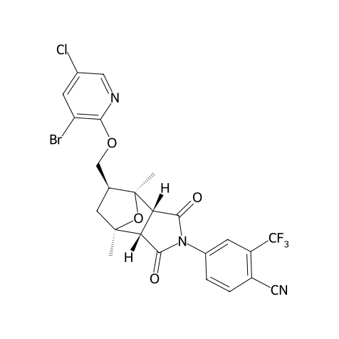 C[C@]12O[C@](C)(C[C@H]1COc1ncc(Cl)cc1Br)[C@H]1C(=O)N(c3ccc(C#N)c(C(F)(F)F)c3)C(=O)[C@H]12